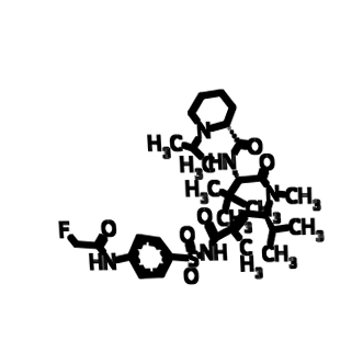 C/C(=C\[C@H](C(C)C)N(C)C(=O)[C@@H](NC(=O)[C@H]1CCCCN1C(C)C)C(C)(C)C)C(=O)NS(=O)(=O)c1ccc(NC(=O)CF)cc1